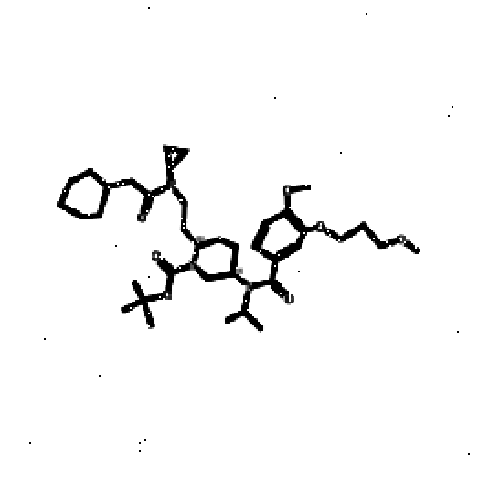 COCCCOc1cc(C(=O)N(C(C)C)[C@@H]2CC[C@H](CCN(C(=O)CC3CCCCC3)C3CC3)N(C(=O)OC(C)(C)C)C2)ccc1OC